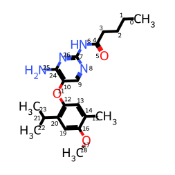 CCCCC(=O)Nc1ncc(Oc2cc(C)c(OC)cc2C(C)C)c(N)n1